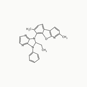 CCC1N(c2ccccc2)c2nccnc2N1c1c(C)ccc2c1oc1nc(C)ccc12